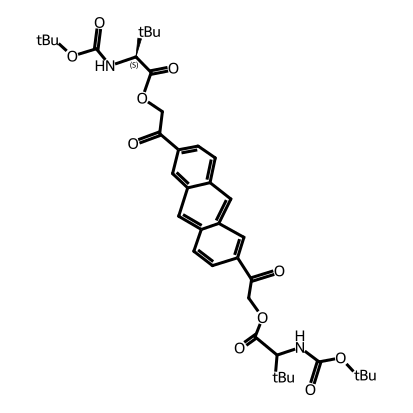 CC(C)(C)OC(=O)NC(C(=O)OCC(=O)c1ccc2cc3cc(C(=O)COC(=O)[C@@H](NC(=O)OC(C)(C)C)C(C)(C)C)ccc3cc2c1)C(C)(C)C